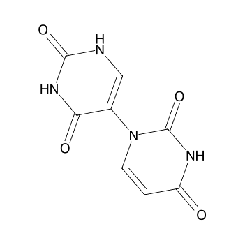 O=c1ccn(-c2c[nH]c(=O)[nH]c2=O)c(=O)[nH]1